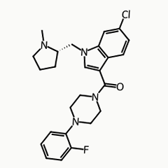 CN1CCC[C@H]1Cn1cc(C(=O)N2CCN(c3ccccc3F)CC2)c2ccc(Cl)cc21